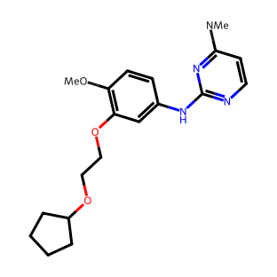 CNc1ccnc(Nc2ccc(OC)c(OCCOC3CCCC3)c2)n1